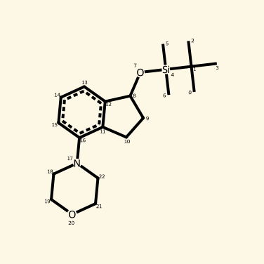 CC(C)(C)[Si](C)(C)OC1CCc2c1cccc2N1CCOCC1